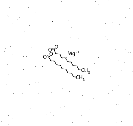 CCCCCCCCCCC(=O)[O-].CCCCCCCCCCC(=O)[O-].[Mg+2]